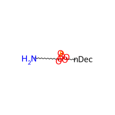 CCCCCCCCCCCCCCCC(=O)O[C@@H](COP=O)COC(=O)CCCCCCCCCCCCCCCN